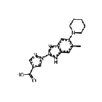 Cc1cc2[nH]c(-n3cc(C(=O)O)cn3)nc2cc1N1CCCCC1